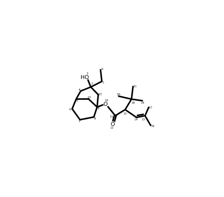 CCC1(O)CC2CCCC(OC(=O)C(C=C(C)C)C(C)(C)C)(C2)C1